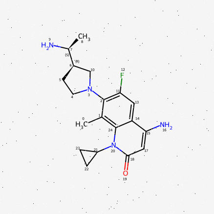 Cc1c(N2CC[C@@H]([C@H](C)N)C2)c(F)cc2c(N)cc(=O)n(C3CC3)c12